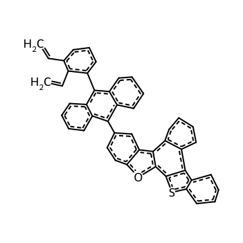 C=Cc1cccc(-c2c3ccccc3c(-c3ccc4oc5c6sc7ccccc7c6c6ccccc6c5c4c3)c3ccccc23)c1C=C